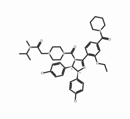 CCOc1cc(C(=O)N2CCCCC2)ccc1C1=N[C@@H](c2ccc(Cl)cc2)[C@@H](c2ccc(Cl)cc2)N1C(=O)N1CCN(CC(=O)N(C)C(C)C)CC1